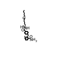 CCCCCOCCCCCNNC(=O)c1ccc(Cc2ncccc2C(N)=O)cc1